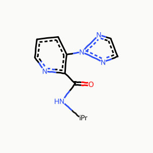 CC(C)NC(=O)c1ncccc1-n1nccn1